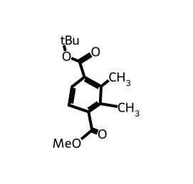 COC(=O)c1ccc(C(=O)OC(C)(C)C)c(C)c1C